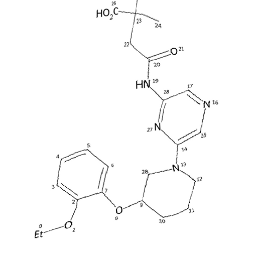 CCOc1ccccc1OC1CCCN(c2cncc(NC(=O)CC(C)(C)C(=O)O)n2)C1